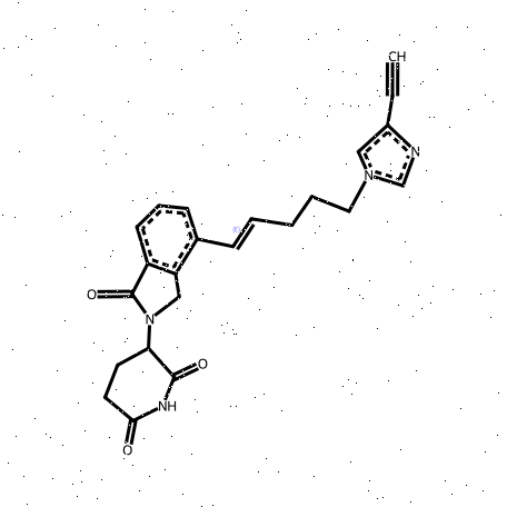 C#Cc1cn(CCC/C=C/c2cccc3c2CN(C2CCC(=O)NC2=O)C3=O)cn1